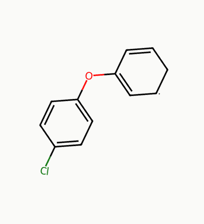 Clc1ccc(OC2=C[CH]CC=C2)cc1